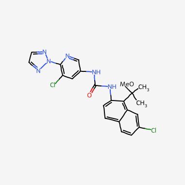 COC(C)(C)c1c(NC(=O)Nc2cnc(-n3nccn3)c(Cl)c2)ccc2ccc(Cl)cc12